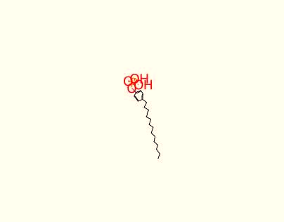 CCCCCCCCCCCCCCc1ccc(OP(=O)(O)O)cc1